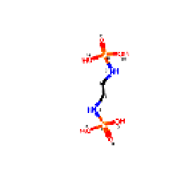 O=P(O)(O)NCCNP(=O)(O)O